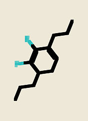 CCCC1=CCC(CCC)C(F)=C1F